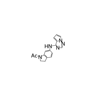 CC(=O)N1CCc2ccc(Nc3ncnn4cccc34)cc21